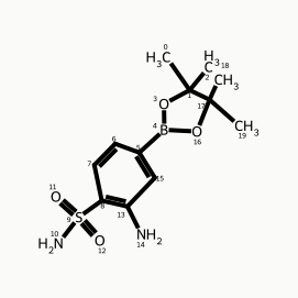 CC1(C)OB(c2ccc(S(N)(=O)=O)c(N)c2)OC1(C)C